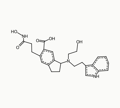 O=C(CCc1cc2c(cc1C(=O)O)C(N(CCO)CCc1c[nH]c3ccccc13)CC2)NO